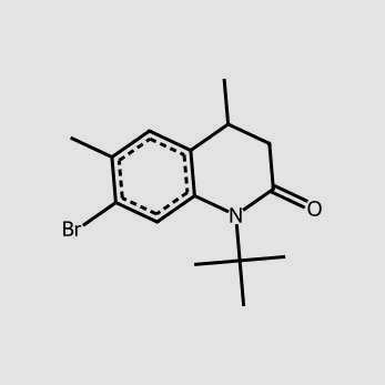 Cc1cc2c(cc1Br)N(C(C)(C)C)C(=O)CC2C